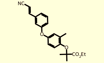 CCOC(=O)C(C)(C)Oc1ccc(Oc2cccc(/C=C/C#N)c2)cc1C